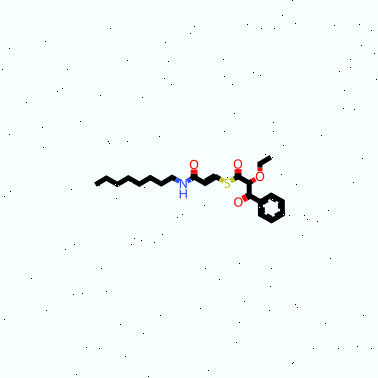 CCCCCCCCNC(=O)C=CSC(=O)C(OCC)C(=O)c1ccccc1